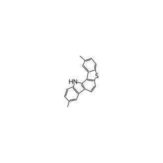 Cc1ccc2[nH]c3c(ccc4sc5ccc(C)cc5c43)c2c1